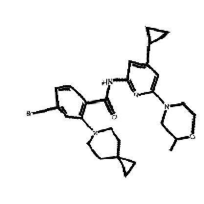 CC1CN(c2cc(C3CC3)cc(NC(=O)c3ccc(Br)cc3N3CCC4(CC3)CC4)n2)CCO1